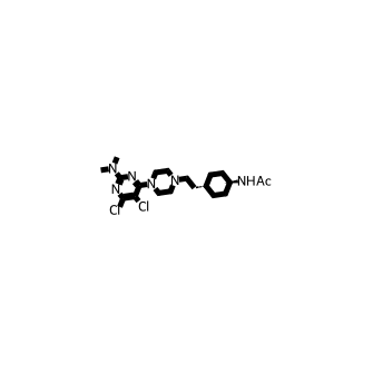 CC(=O)N[C@H]1CC[C@H](CCN2CCN(c3nc(N(C)C)nc(Cl)c3Cl)CC2)CC1